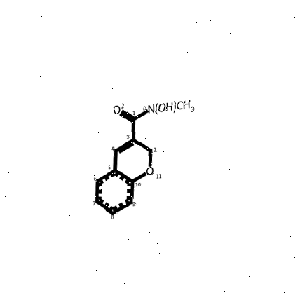 CN(O)C(=O)C1=Cc2ccccc2OC1